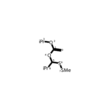 C=C(OC(C)C)OC(SSC)C(C)C